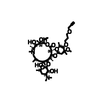 C#CCOCCCO[C@H]1[C@H](C)O[C@@H](O[C@H]2[C@H](C)[C@@H](O[C@@H]3O[C@H](C)C[C@H](N(C)C)[C@H]3O)[C@](C)(O)C[C@@H](C)CN(C)[C@H](C)[C@@H](O)[C@](C)(O)[C@@H](CC)OC(=O)[C@@H]2C)C[C@@]1(C)OC